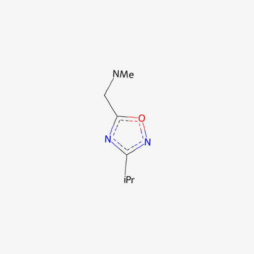 CNCc1nc(C(C)C)no1